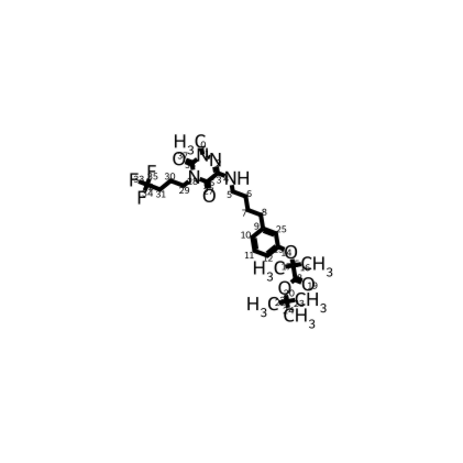 Cn1nc(NCCCCc2cccc(OC(C)(C)C(=O)OC(C)(C)C)c2)c(=O)n(CCCC(F)(F)F)c1=O